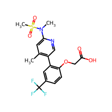 Cc1cc(N(C)S(C)(=O)=O)ncc1-c1cc(C(F)(F)F)ccc1OCC(=O)O